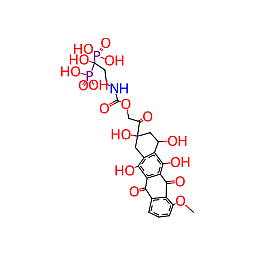 COc1cccc2c1C(=O)c1c(O)c3c(c(O)c1C2=O)CC(O)(C(=O)COC(=O)NCCC(O)(P(=O)(O)O)P(=O)(O)O)CC3O